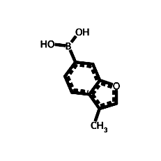 Cc1coc2cc(B(O)O)ccc12